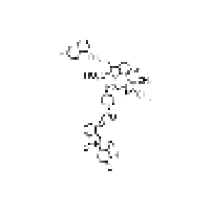 Cc1nn(C)c(C)c1-c1c(F)ccc2c(CCCOc3cccc4cc(F)ccc34)c(C(=O)O)n(CCN3CCN(C(=O)COc4cccc5c4CN(C4CCC(=O)NC4=O)C5=O)CC3)c12